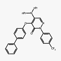 CCCN(CCC)c1cnn(-c2ccc(C(F)(F)F)cc2)c(=O)c1Oc1ccc(-c2ccccc2)cc1